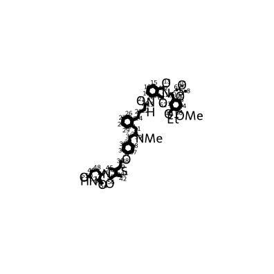 CCOc1cc([C@@H](CS(C)(=O)=O)N2C(=O)c3cccc(NC(=O)CCCc4ccccc4CC(Cc4ccc(OCc5scc6c5CN(C5CCC(=O)NC5=O)C6=O)cc4)NC)c3C2=O)ccc1OC